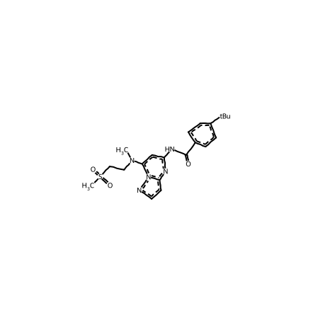 CN(CCS(C)(=O)=O)c1cc(NC(=O)c2ccc(C(C)(C)C)cc2)nc2ccnn12